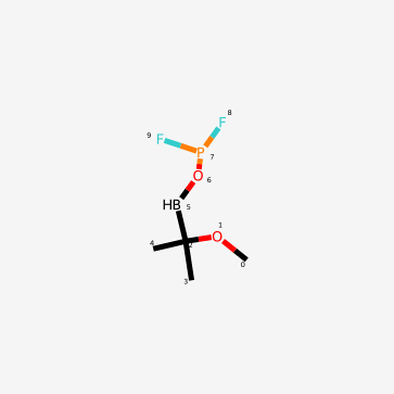 COC(C)(C)BOP(F)F